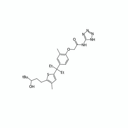 CCC(CC)(c1ccc(OCC(=O)Nc2nnn[nH]2)c(C)c1)c1cc(C)c(CCC(O)C(C)(C)C)s1